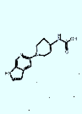 O=C(O)NC1CCN(c2cc3cc[nH]c3cn2)CC1